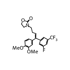 COc1ccc(/C(=C\CCN2CCOC2=O)c2cc(F)cc(C(F)(F)F)c2)cc1OC